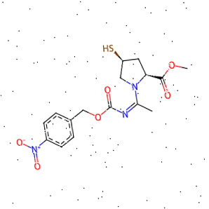 COC(=O)[C@@H]1C[C@H](S)CN1C(C)=NC(=O)OCc1ccc([N+](=O)[O-])cc1